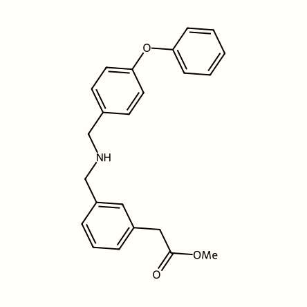 COC(=O)Cc1cccc(CNCc2ccc(Oc3ccccc3)cc2)c1